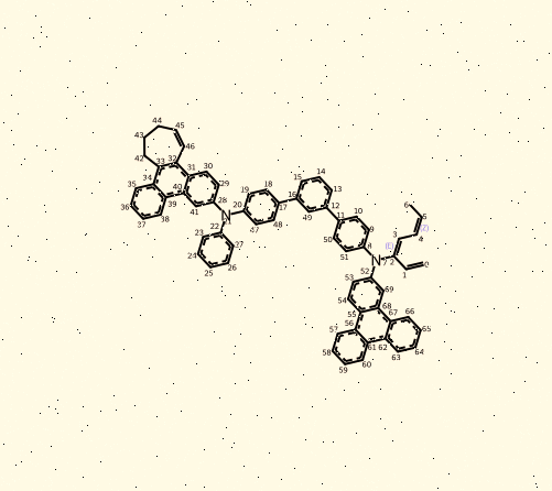 C=C/C(=C\C=C/C)N(c1ccc(-c2cccc(-c3ccc(N(c4ccccc4)c4ccc5c6c(c7ccccc7c5c4)CCCC=C6)cc3)c2)cc1)c1ccc2c3ccccc3c3ccccc3c2c1